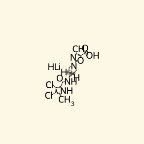 Cc1nc(N2C[C@@H]3C(NC(=O)c4[nH]c(C)c(Cl)c4Cl)[C@@H]3C2)oc1C(=O)O.[LiH]